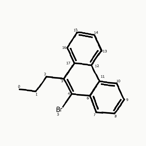 CCCc1c(Br)c2ccccc2c2ccccc12